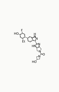 CCc1cc(O)c(F)cc1-c1ccc2c(-c3nc4c([nH]3)CN(C(=O)N3CC(O)C3)C4)n[nH]c2c1